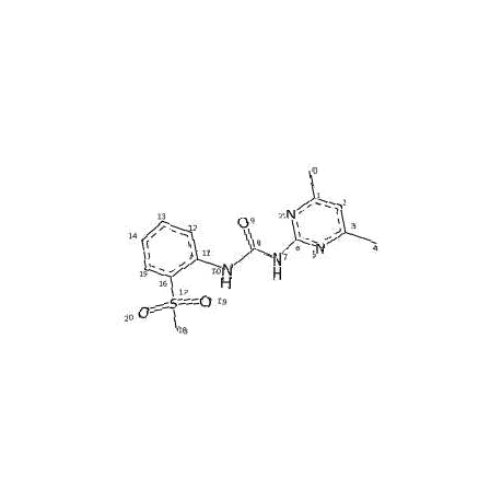 Cc1cc(C)nc(NC(=O)Nc2ccccc2S(C)(=O)=O)n1